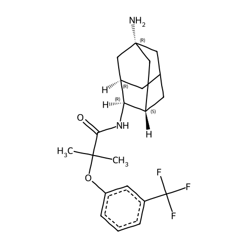 CC(C)(Oc1cccc(C(F)(F)F)c1)C(=O)N[C@H]1[C@@H]2CC3C[C@H]1C[C@](N)(C3)C2